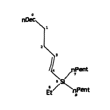 CCCCCCCCCCCC/C=C/[Si](CC)(CCCCC)CCCCC